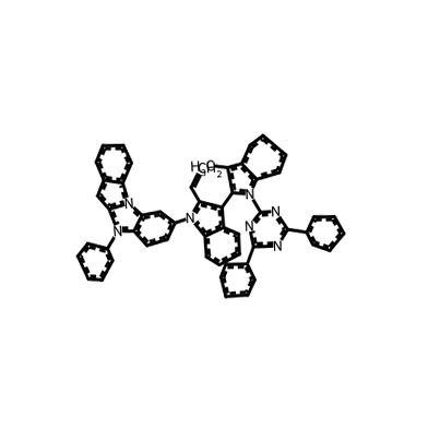 C=Cc1c(-c2c(C)c3ccccc3n2-c2nc(-c3ccccc3)nc(-c3ccccc3)n2)c2ccccc2n1-c1ccc2c(c1)n1c3ccccc3cc1n2-c1ccccc1